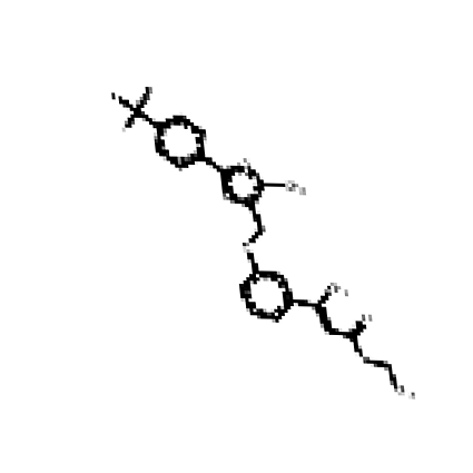 CCOC(=O)/C=C(\C)c1cccc(OCc2nc(-c3ccc(C(F)(F)F)cc3)oc2C)c1